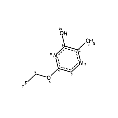 Cc1ncc(OCF)nc1O